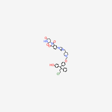 O=C1CCC(N2C(=O)c3ccc(N4CC5CC4CN5CC4CCN(CCOc5ccc(C(=C(CCCl)c6ccccc6)c6ccc(O)cc6)cc5)CC4)cc3C2=O)C(=O)N1